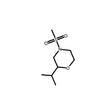 CC(C)C1CN(S(C)(=O)=O)CCO1